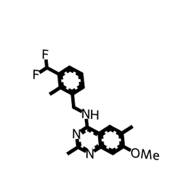 COc1cc2nc(C)nc(NCc3cccc(C(F)F)c3C)c2cc1C